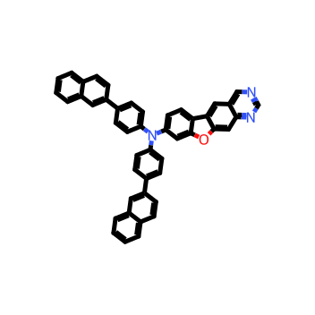 c1ccc2cc(-c3ccc(N(c4ccc(-c5ccc6ccccc6c5)cc4)c4ccc5c(c4)oc4cc6ncncc6cc45)cc3)ccc2c1